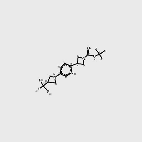 CC(C)(C)OC(=O)N1CC(c2ccc(N3CC(C(F)(F)F)C3)cn2)C1